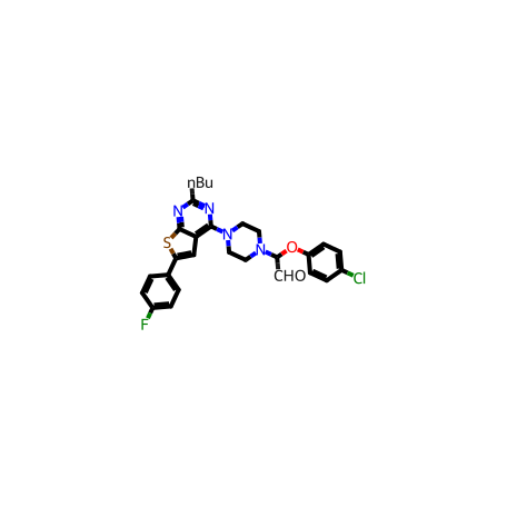 CCCCc1nc(N2CCN(C(C=O)Oc3ccc(Cl)cc3)CC2)c2cc(-c3ccc(F)cc3)sc2n1